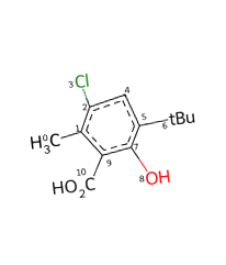 Cc1c(Cl)cc(C(C)(C)C)c(O)c1C(=O)O